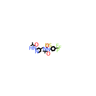 CC(C)C(=O)Nc1cc(CN2C(=O)N(c3ccc(C(F)(F)F)cc3S)C(=O)C2(C)C)ccn1